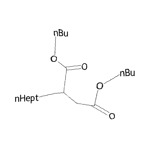 CCCCCCCC(CC(=O)OCCCC)C(=O)OCCCC